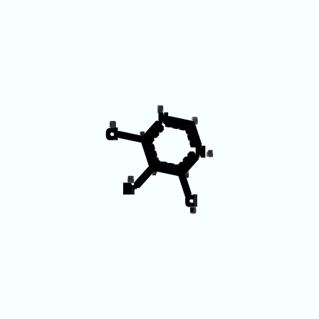 Clc1ncnc(Cl)c1Br